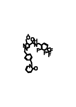 COCc1nn(Cc2ccc(Cn3ccccc3=O)cc2)cc1C(=O)NCC1=C(F)CC(C)(C(F)(F)F)C=C1